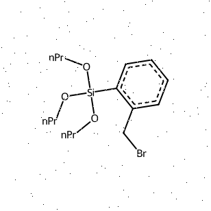 CCCO[Si](OCCC)(OCCC)c1ccccc1CBr